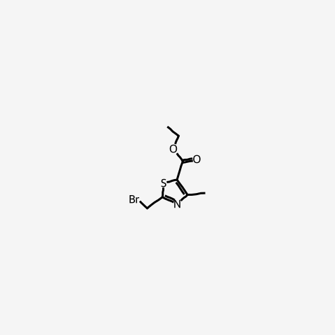 CCOC(=O)c1sc(CBr)nc1C